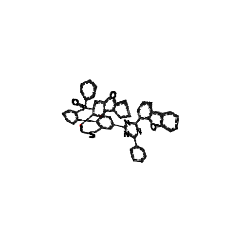 O=P1(c2ccccc2)c2ccccc2C2(c3ccccc3Sc3cc(-c4nc(-c5ccccc5)nc(-c5cccc6c5oc5ccccc56)n4)ccc32)c2cc3c(cc21)oc1ccccc13